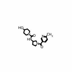 Cc1ccc(C(=O)N2CCC(NC(=O)N3CCC(O)CC3)C2)cn1